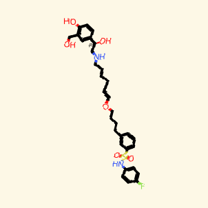 O=S(=O)(Nc1ccc(F)cc1)c1cccc(CCCCOCCCCCCNC[C@H](O)c2ccc(O)c(CO)c2)c1